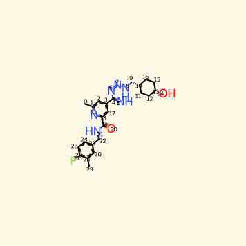 Cc1cc(C(=N)/N=N\NC[C@H]2CC[C@@H](O)CC2)cc(C(=O)NCc2ccc(F)c(C)c2)n1